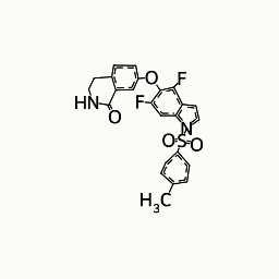 Cc1ccc(S(=O)(=O)n2ccc3c(F)c(Oc4ccc5c(c4)C(=O)NCC5)c(F)cc32)cc1